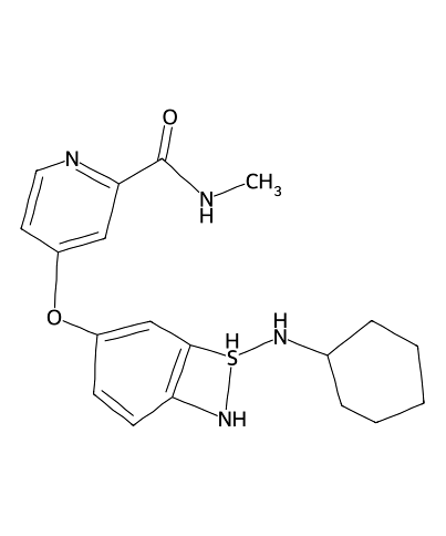 CNC(=O)c1cc(Oc2ccc3c(c2)[SH](NC2CCCCC2)N3)ccn1